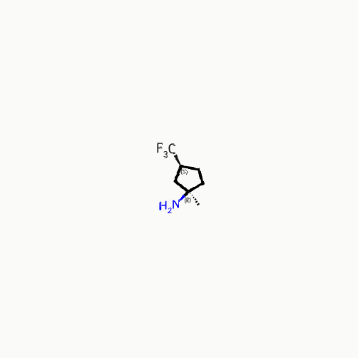 C[C@@]1(N)CC[C@H](C(F)(F)F)C1